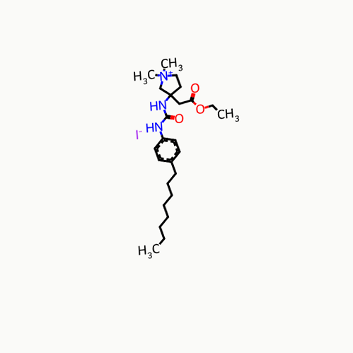 CCCCCCCCc1ccc(NC(=O)NC2(CC(=O)OCC)CC[N+](C)(C)C2)cc1.[I-]